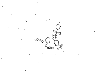 CCCCCCCCOc1ccc(C(=NNS(=O)(=O)c2ccc(C)cc2)c2ccc(S(C)(=O)=O)cc2)cc1OCCCCCCCC